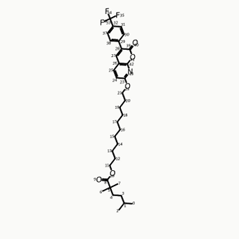 CC(C)CCC(C)(C)C(=O)OCCCCCCCCCCCOc1ccc2cc(-c3ccc(C(F)(F)F)cc3)c(=O)oc2n1